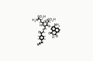 Nc1ccc2c3c(cccc13)C(=O)NC2=O.[N-]=[N+]=Nc1ccc(C(=O)CSCC(NC(=O)CCC(N)C(=O)O)C(=O)NCC(=O)O)cc1